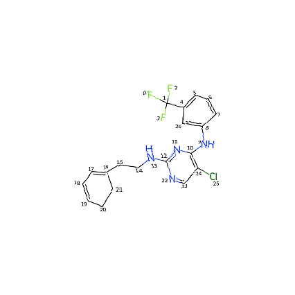 FC(F)(F)c1cccc(Nc2nc(NCCC3=CC=CCC3)ncc2Cl)c1